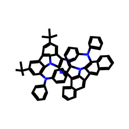 CC(C)(C)c1cc(N(c2ccccc2)c2ccccc2)c2c(c1)c1cc(C(C)(C)C)cc3c4nc5c(nc4n2c13)c1c2ccccc2cc2c3cc4ccccc4c(N(c4ccccc4)c4ccccc4)c3n5c21